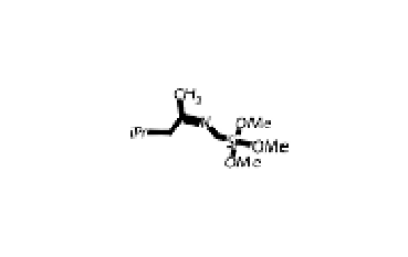 CO[Si](CN=C(C)CC(C)C)(OC)OC